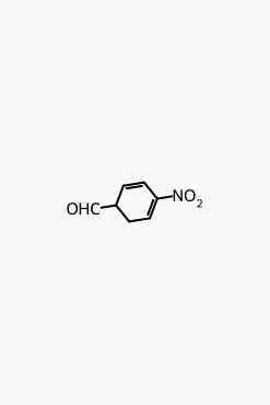 O=CC1C=CC([N+](=O)[O-])=CC1